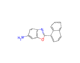 Nc1ccc2nc(-c3cccc4ccccc34)oc2c1